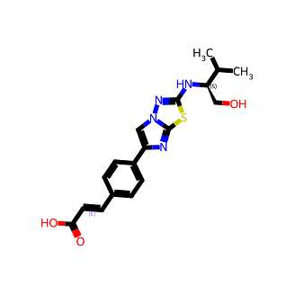 CC(C)[C@@H](CO)Nc1nn2cc(-c3ccc(/C=C/C(=O)O)cc3)nc2s1